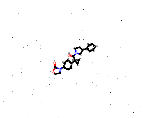 O=C1OCCN1c1ccc(C2(C(=O)N3CCC(c4ccccc4)C3)CC2)cc1